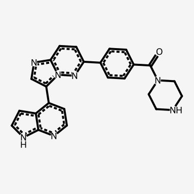 O=C(c1ccc(-c2ccc3ncc(-c4ccnc5[nH]ccc45)n3n2)cc1)N1CCNCC1